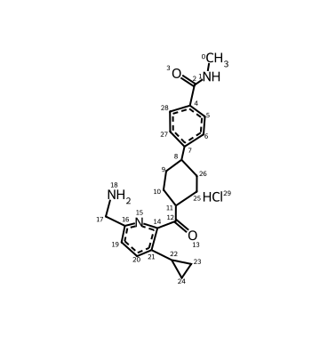 CNC(=O)c1ccc(C2CCC(C(=O)c3nc(CN)ccc3C3CC3)CC2)cc1.Cl